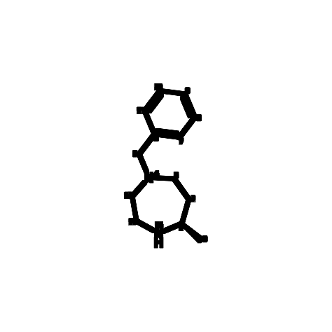 C[C@@H]1CCN(Cc2ccccc2)CCN1